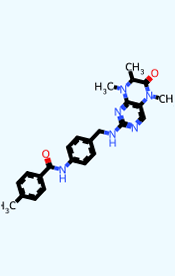 Cc1ccc(C(=O)Nc2ccc(CNc3ncc4c(n3)N(C)C(C)C(=O)N4C)cc2)cc1